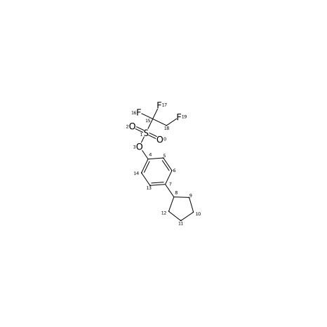 O=S(=O)(Oc1ccc(C2CCCC2)cc1)C(F)(F)CF